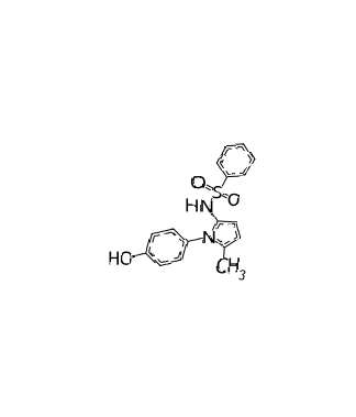 Cc1ccc(NS(=O)(=O)c2ccccc2)n1-c1ccc(O)cc1